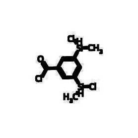 C[SiH](Cl)c1cc(C(=O)Cl)cc([SiH](C)Cl)c1